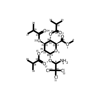 COC(=O)[C@H]1O[C@H](OC(N)C(Cl)(Cl)Cl)[C@H](OC(=O)C(C)C)[C@@H](OC(=O)C(C)C)[C@@H]1OC(=O)C(C)C